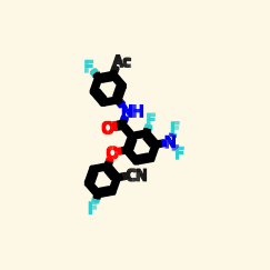 CC(=O)c1cc(NC(=O)c2c(Oc3ccc(F)cc3C#N)ccc(N(F)F)c2F)ccc1F